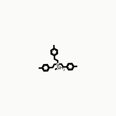 C[SiH2][Si](CCc1ccc(C)cc1)(CCc1ccc(C)cc1)CCc1ccc(C)cc1